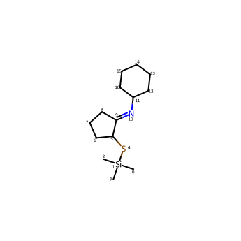 C[Si](C)(C)SC1CCC/C1=N\C1CCCCC1